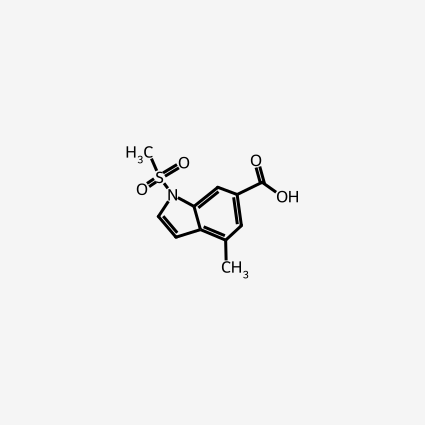 Cc1cc(C(=O)O)cc2c1ccn2S(C)(=O)=O